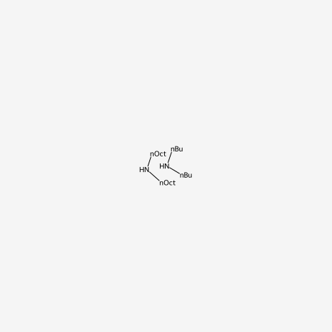 CCCCCCCCNCCCCCCCC.CCCCNCCCC